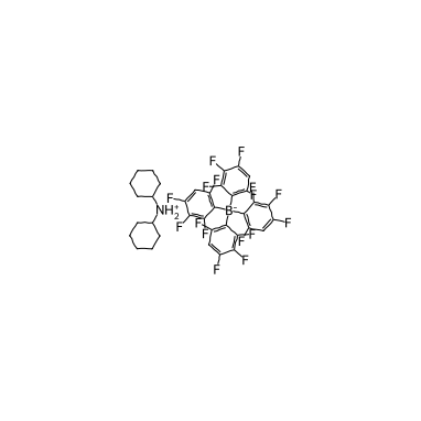 C1CCC([NH2+]C2CCCCC2)CC1.Fc1cc(F)c([B-](c2c(F)cc(F)c(F)c2F)(c2c(F)cc(F)c(F)c2F)c2c(F)cc(F)c(F)c2F)c(F)c1F